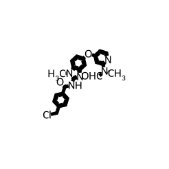 CN(C=O)c1cc(Oc2ccc3c(c2)nc(NC(=O)c2ccc(CCl)cc2)n3C)ccn1